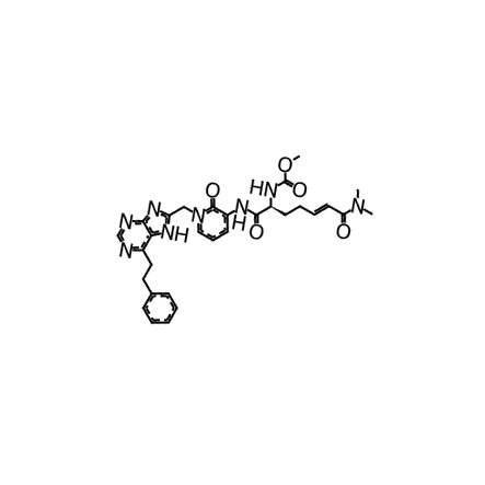 COC(=O)N[C@@H](CC/C=C/C(=O)N(C)C)C(=O)Nc1cccn(Cc2nc3ncnc(CCc4ccccc4)c3[nH]2)c1=O